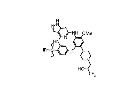 COc1cc(C2CCN(CC(O)C(F)(F)F)CC2)c(C)cc1Nc1nc(Nc2ccccc2S(=O)(=O)C(C)C)c2cn[nH]c2n1